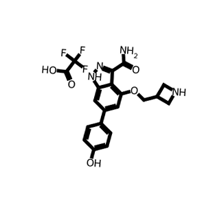 NC(=O)c1n[nH]c2cc(-c3ccc(O)cc3)cc(OCC3CNC3)c12.O=C(O)C(F)(F)F